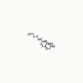 O=C1COc2ccc(/C=C/CCCCl)nc2N1